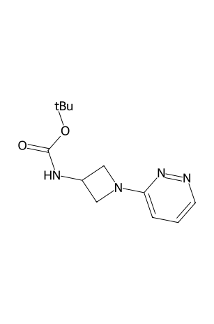 CC(C)(C)OC(=O)NC1CN(c2cccnn2)C1